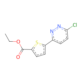 CCOC(=O)c1ccc(-c2ccc(Cl)nn2)s1